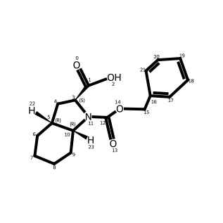 O=C(O)[C@@H]1C[C@H]2CCCC[C@H]2N1C(=O)OCc1ccccc1